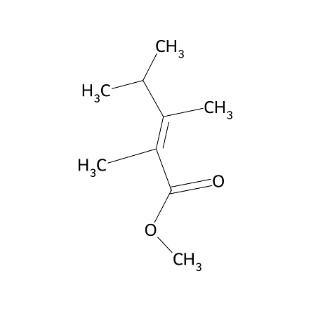 COC(=O)/C(C)=C(\C)C(C)C